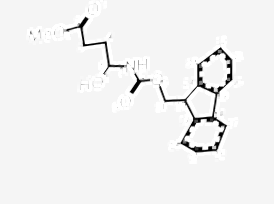 COC(=O)CCC(O)NC(=O)OCC1c2ccccc2-c2ccccc21